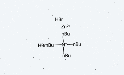 Br.Br.CCCC[N+](CCCC)(CCCC)CCCC.[Zn+2]